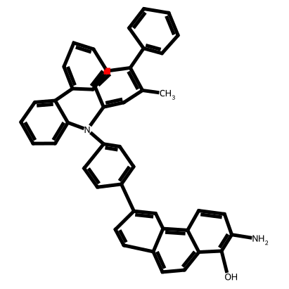 Cc1cc(N(c2ccc(-c3ccc4ccc5c(O)c(N)ccc5c4c3)cc2)c2ccccc2-c2ccccc2)ccc1-c1ccccc1